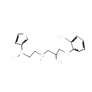 CC(=O)N(CCNCC(O)COc1ccccc1C#N)c1ccsc1